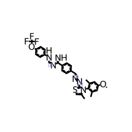 COc1cc(C)c(-n2c(C)cs/c2=N\N=C\c2ccc(C(=N)/N=C\Nc3ccc(OC(F)(F)F)cc3)cc2)c(C)c1